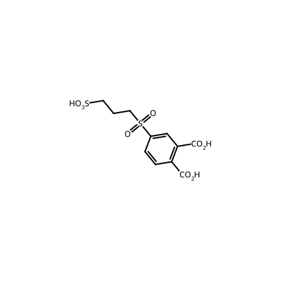 O=C(O)c1ccc(S(=O)(=O)CCCS(=O)(=O)O)cc1C(=O)O